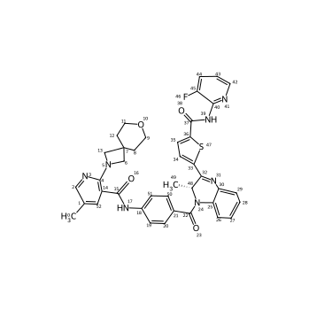 Cc1cnc(N2CC3(CCOCC3)C2)c(C(=O)Nc2ccc(C(=O)N3c4ccccc4N=C(c4ccc(C(=O)Nc5ncccc5F)s4)[C@H]3C)cc2)c1